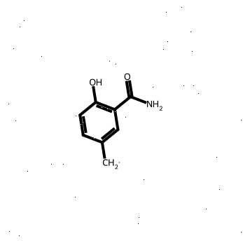 [CH2]c1ccc(O)c(C(N)=O)c1